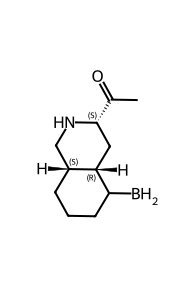 BC1CCC[C@@H]2CN[C@H](C(C)=O)C[C@H]12